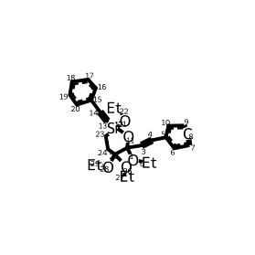 CCOC1(C#Cc2ccccc2)O[Si](C#Cc2ccccc2)(OCC)CCC1(OCC)OCC